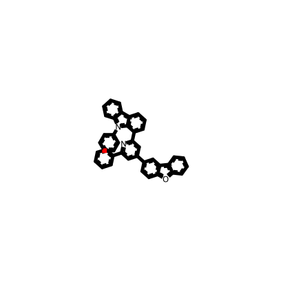 c1ccc(-c2cc(-c3ccc4oc5ccccc5c4c3)cc(-c3cccc4c5ccccc5n(-c5ccccc5)c34)n2)cc1